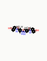 Cc1cc(C(=O)Nc2c(S(=O)(=O)O)ccc3c(O)cccc23)ccc1NC(=O)Nc1ccc(C(=O)Nc2c(S(=O)(=O)O)ccc3c(O)cccc23)cc1C